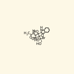 CC(=O)N[C@@H](C=O)[C@](O)(c1cc2ccccc2[nH]1)[C@@](O)(Cl)[C@@](O)(Br)CO